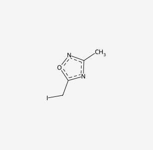 Cc1noc(CI)n1